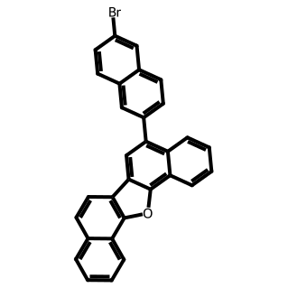 Brc1ccc2cc(-c3cc4c5ccc6ccccc6c5oc4c4ccccc34)ccc2c1